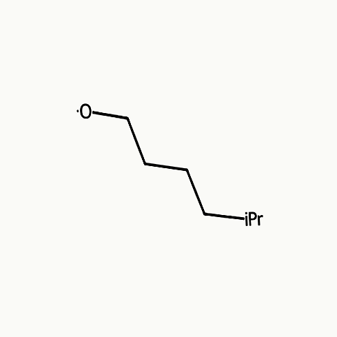 CC(C)CCCC[O]